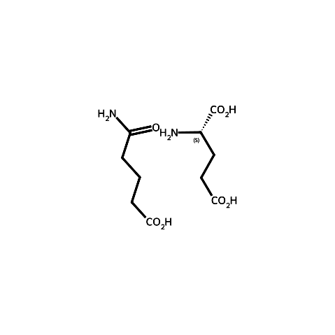 NC(=O)CCCC(=O)O.N[C@@H](CCC(=O)O)C(=O)O